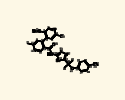 COc1cnc(Cl)cc1-c1cc(C)ncc1C(=O)Nc1nnc(C(C)(C)Oc2ccc(C#N)cc2)[se]1